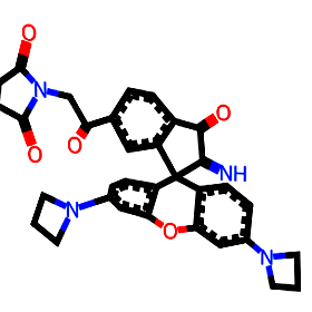 N=C1C(=O)c2ccc(C(=O)CN3C(=O)CCC3=O)cc2C12c1ccc(N3CCC3)cc1Oc1cc(N3CCC3)ccc12